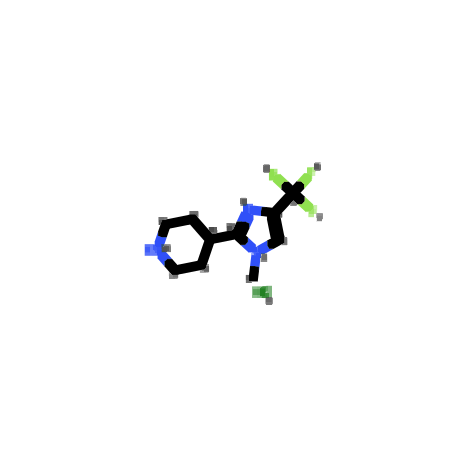 Cl.Cn1cc(C(F)(F)F)nc1C1CCNCC1